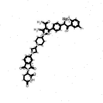 COc1ccc(F)cc1C(=O)C(N)c1ccc(-c2nn(C3CCN(C4CN(c5ccc6c(c5)C(=O)N(C5CCC(=O)NC5=O)C6=O)C4)CC3)c(N)c2C(N)=O)cc1